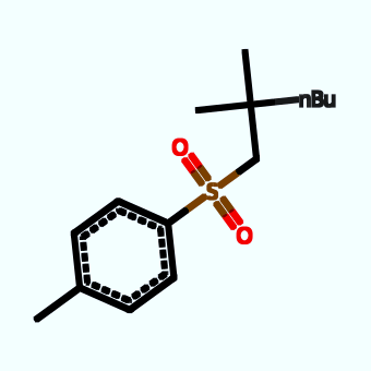 CCCCC(C)(C)CS(=O)(=O)c1ccc(C)cc1